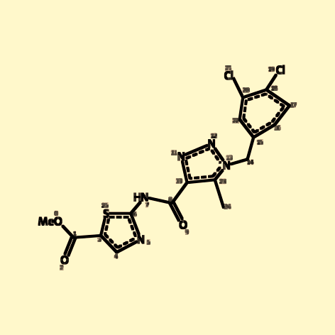 COC(=O)c1cnc(NC(=O)c2nnn(Cc3ccc(Cl)c(Cl)c3)c2C)s1